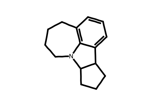 c1cc2c3c(c1)C1CCCC1N3CCCC2